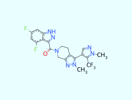 Cn1nc2c(c1-c1cnn(C)c1C(F)(F)F)CCN(C(=O)c1n[nH]c3cc(F)cc(F)c13)C2